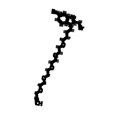 C#CCOCCOCCOCCOCCOCCCCn1c(CBr)nc2cc(Br)ccc21